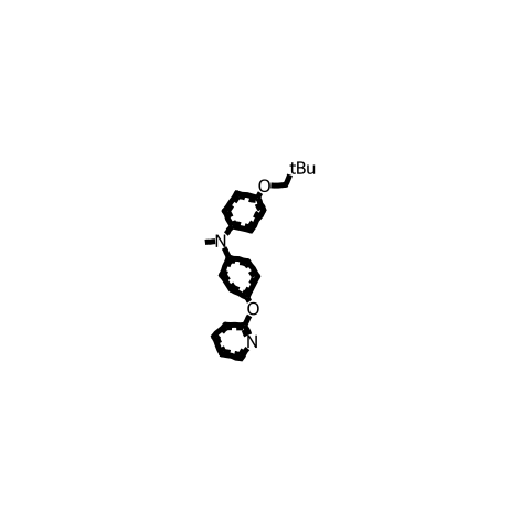 CN(c1ccc(OCC(C)(C)C)cc1)c1ccc(Oc2ccccn2)cc1